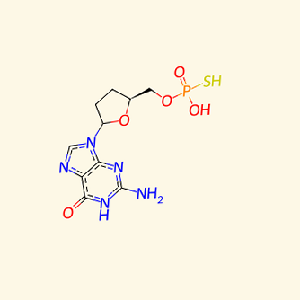 Nc1nc2c(ncn2C2CC[C@@H](COP(=O)(O)S)O2)c(=O)[nH]1